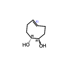 O[C@@H]1CC/C=C/CC[C@H]1O